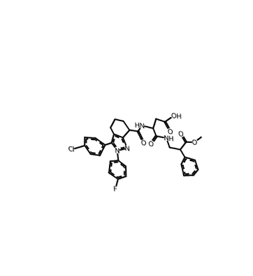 COC(=O)C(CNC(=O)C(CC(=O)O)NC(=O)C1CCCc2c1nn(-c1ccc(F)cc1)c2-c1ccc(Cl)cc1)c1ccccc1